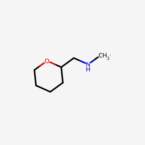 [CH2]NCC1CCCCO1